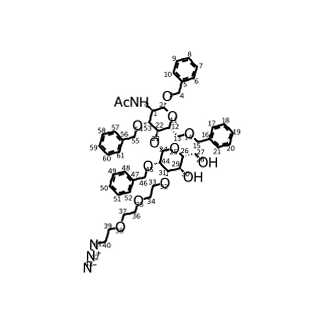 CC(=O)N[C@H]1[C@H](OCc2ccccc2)O[C@H](COCc2ccccc2)[C@@H](O[C@@H]2O[C@H](CO)[C@@H](O)[C@H](OCCOCCOCCN=[N+]=[N-])[C@@H]2OCc2ccccc2)[C@@H]1OCc1ccccc1